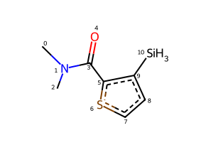 CN(C)C(=O)c1sccc1[SiH3]